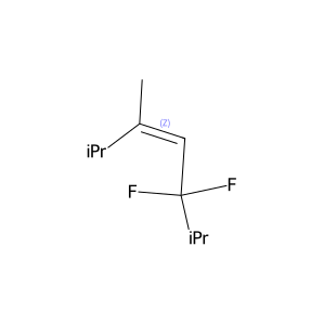 C/C(=C/C(F)(F)C(C)C)C(C)C